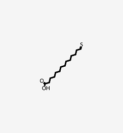 O=C(O)CCCCCCCCCCCCC=S